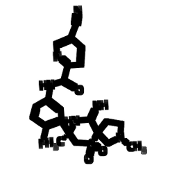 CN1CCC2(C1)C(=N)N[C@](C)(c1cc(NC(=O)c3ccc(C#N)cn3)ccc1F)CS2(=O)=O